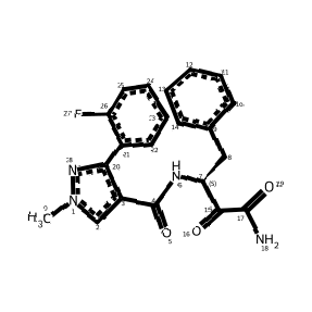 Cn1cc(C(=O)N[C@@H](Cc2ccccc2)C(=O)C(N)=O)c(-c2ccccc2F)n1